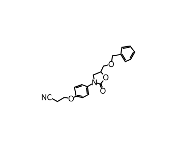 N#CCCOc1ccc(N2CC(COCc3ccccc3)OC2=O)cc1